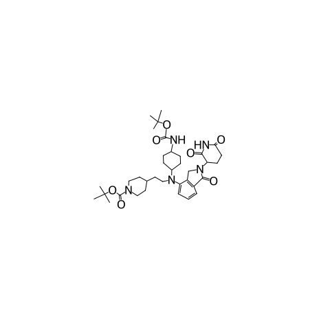 CC(C)(C)OC(=O)NC1CCC(N(CCC2CCN(C(=O)OC(C)(C)C)CC2)c2cccc3c2CN(C2CCC(=O)NC2=O)C3=O)CC1